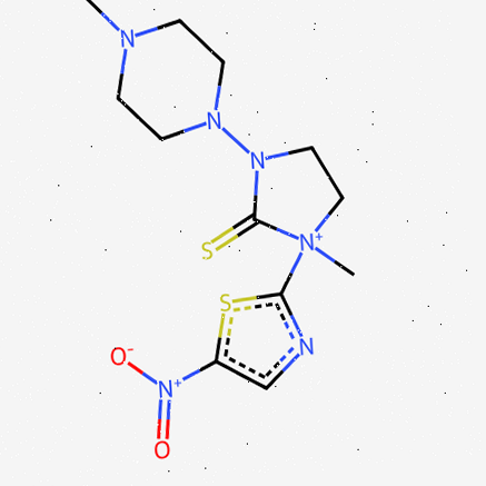 CN1CCN(N2CC[N+](C)(c3ncc([N+](=O)[O-])s3)C2=S)CC1